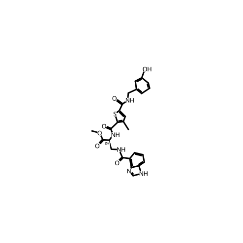 COC(=O)[C@H](CNC(=O)c1cccc2[nH]cnc12)NC(=O)c1sc(C(=O)NCc2cccc(O)c2)cc1C